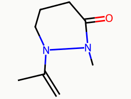 C=C(C)N1CCCC(=O)N1C